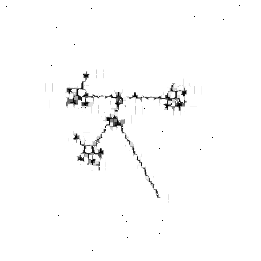 CC(=O)NC1C(OCCOCCNC(=O)CC[C@H](NC(=O)CC[C@H](NC(=O)CCOCCOCCOCCOCCOCCOCCO)C(=O)NCCOCCOC2OC(COC(C)=O)C(OC(C)=O)C(OC(C)=O)C2NC(C)=O)C(=O)NCCOCCOC2OC(COC(C)=O)C(OC(C)=O)C(OC(C)=O)C2NC(C)=O)OC(CO)C(OC(C)=O)C1OC(C)=O